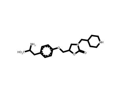 NC(Cc1ccc(OCC2CN(CC3CCNCC3)C(=O)O2)cc1)C(=O)O